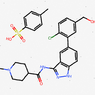 CN1CCC(C(=O)Nc2n[nH]c3ccc(-c4cc(CO)ccc4Cl)cc23)CC1.Cc1ccc(S(=O)(=O)O)cc1